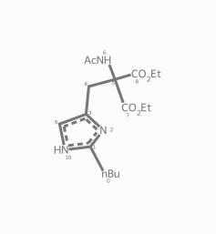 CCCCc1nc(CC(NC(C)=O)(C(=O)OCC)C(=O)OCC)c[nH]1